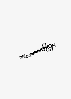 CCCCCCCCCCCCCCCCOC(Cl)C(O)CO